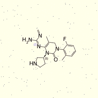 C=N/C(N)=N\C1=C(C)CN(c2c(C)cccc2F)C(=O)N1[C@H]1CCNC1